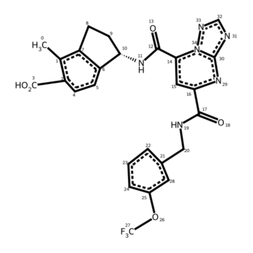 Cc1c(C(=O)O)ccc2c1CC[C@@H]2NC(=O)c1cc(C(=O)NCc2cccc(OC(F)(F)F)c2)nc2ncnn12